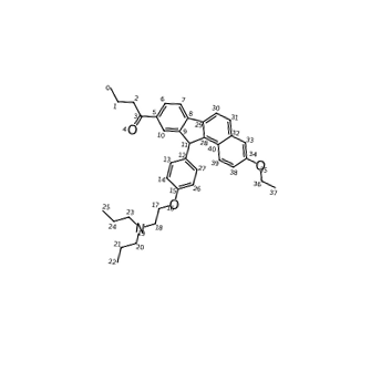 CCCC(=O)c1ccc2c(c1)C(c1ccc(OCCN(CCC)CCC)cc1)c1c-2ccc2cc(OCC)ccc12